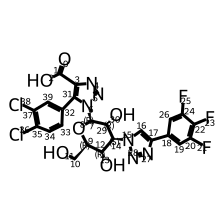 O=C(O)c1nnn([C@@H]2O[C@H](CO)[C@H](O)[C@H](n3cc(-c4cc(F)c(F)c(F)c4)nn3)[C@H]2O)c1-c1ccc(Cl)c(Cl)c1